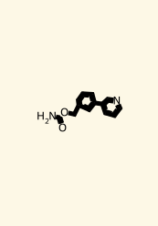 NC(=O)OCc1cccc(-c2cccnc2)c1